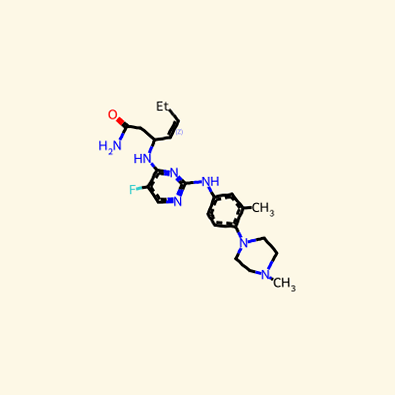 CC/C=C\C(CC(N)=O)Nc1nc(Nc2ccc(N3CCN(C)CC3)c(C)c2)ncc1F